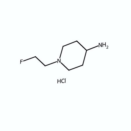 Cl.NC1CCN(CCF)CC1